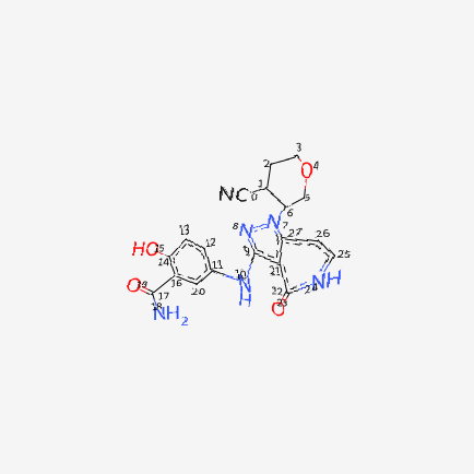 N#CC1CCOCC1n1nc(Nc2ccc(O)c(C(N)=O)c2)c2c(=O)[nH]ccc21